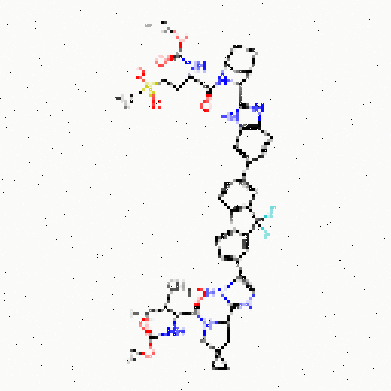 COC(=O)NC(CCS(C)(=O)=O)C(=O)N1C2CCC(C2)C1c1nc2ccc(-c3ccc4c(c3)C(F)(F)c3cc(-c5cnc(C6CC7(CC7)CN6C(=O)C(NC(=O)OC)C(C)C)[nH]5)ccc3-4)cc2[nH]1